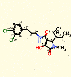 CCC(CC)C1C(C(=O)NCCCc2ccc(Cl)c(Cl)c2)=C(O)C(=O)N1C